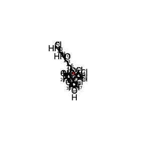 O=C(CCCCCOC(O)c1c(Cl)c(Cl)c(Cl)c(Cl)c1-c1c2cc(I)c(=O)c(I)c-2oc2c(I)c(O)c(I)cc12)NCCCNCl